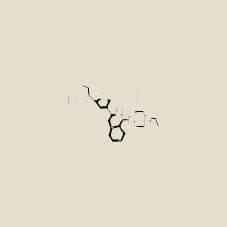 CCC(O)c1cc(-c2cc3ccccc3c(N3CCN(CC)CC3)n2)cs1.Cl